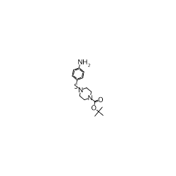 CC(C)(C)OC(=O)N1CCN(Sc2ccc(N)cc2)CC1